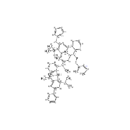 C=C(/C=C\C)CCC1c2ccccc2-c2cc(Cc3ccccc3)c([Si](C)(C)C)c[n+]2C1CC(=C)N(C)c1ccccc1Nc1c(C(C)C)cc(-c2ccccc2)cc1C(C)C